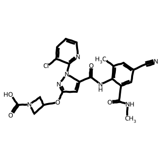 CNC(=O)c1cc(C#N)cc(C)c1NC(=O)c1cc(OC2CN(C(=O)O)C2)nn1-c1ncccc1Cl